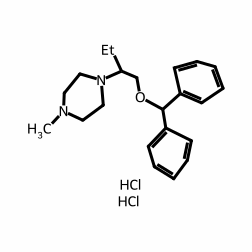 CCC(COC(c1ccccc1)c1ccccc1)N1CCN(C)CC1.Cl.Cl